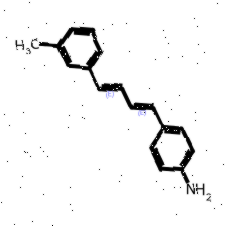 Cc1cccc(/C=C/C=C/c2ccc(N)cc2)c1